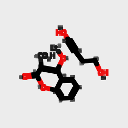 CCOc1c(C(=O)O)c(=O)oc2ccccc12.OC#CCCO